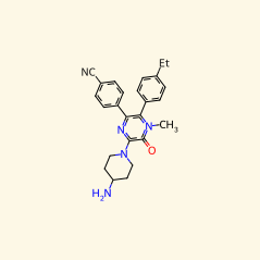 CCc1ccc(-c2c(-c3ccc(C#N)cc3)nc(N3CCC(N)CC3)c(=O)n2C)cc1